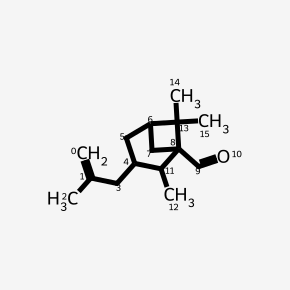 C=C(C)CC1CC2CC(C=O)(C1C)C2(C)C